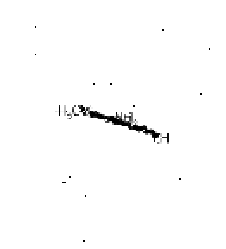 C#CCCCCCCCCCCCCCCCCSCC[CH2].N